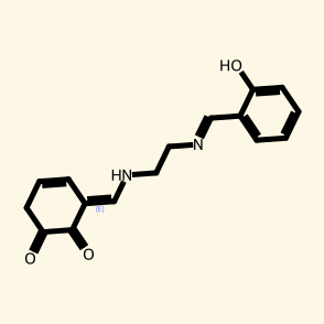 O=C1CC=C/C(=C\NCCN=Cc2ccccc2O)C1=O